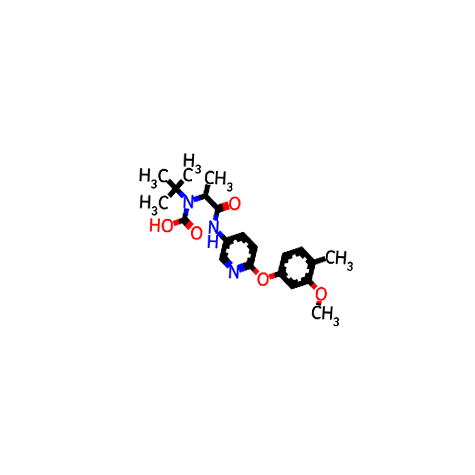 COc1cc(Oc2ccc(NC(=O)C(C)N(C(=O)O)C(C)(C)C)cn2)ccc1C